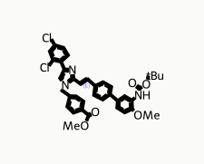 COC(=O)c1ccc(Cn2cc(-c3ccc(Cl)cc3Cl)nc2/C=C/c2ccc(-c3ccc(OC)c(NC(=O)OC(C)(C)C)c3)cc2)cc1